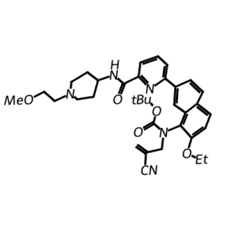 C=C(C#N)CN(C(=O)OC(C)(C)C)c1c(OCC)ccc2ccc(-c3cccc(C(=O)NC4CCN(CCOC)CC4)n3)cc12